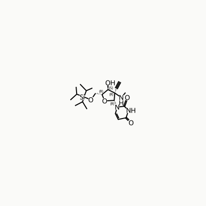 C#C[C@@]1(NC)[C@H](O)[C@@H](CO[Si](C(C)C)(C(C)C)C(C)C)O[C@H]1n1ccc(=O)[nH]c1=O